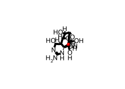 NC1=N[C@H](O)[C@H]2[C@H]3OC4(O)OC([C@H]3O)[C@@H](O)[C@@]2(N1)[C@@H]4O